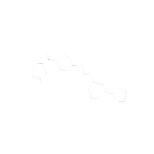 O=C(c1ccc(F)c(Cl)c1)N1CCC(CNCc2cccc(C3=CCCO3)n2)CC1